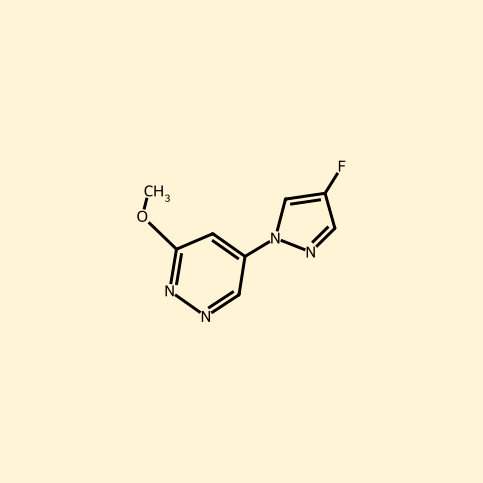 COc1cc(-n2cc(F)cn2)cnn1